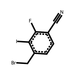 N#Cc1ccc(CBr)c(I)c1F